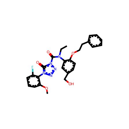 CCN(C(=O)n1nnn(-c2c(F)cccc2OC)c1=O)c1cc(CO)ccc1OCCc1ccccc1